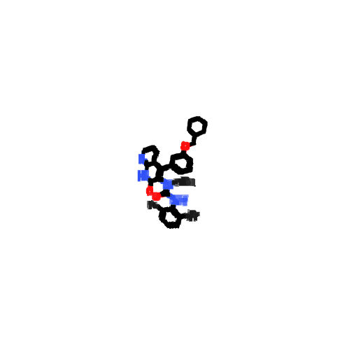 CCCCN(C(=O)Nc1c(C(C)C)cccc1C(C)C)c1c(-c2cccc(OCC3CCCCC3)c2)c2cccnc2[nH]c1=O